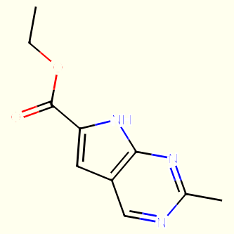 CCOC(=O)c1cc2cnc(C)nc2[nH]1